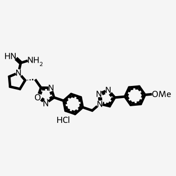 COc1ccc(-c2cn(Cc3ccc(-c4noc(C[C@@H]5CCCN5C(=N)N)n4)cc3)nn2)cc1.Cl